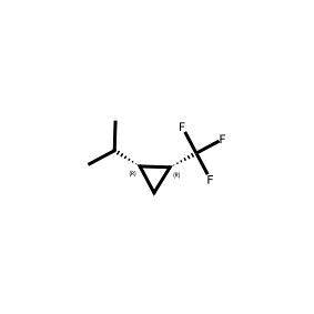 CC(C)[C@H]1C[C@H]1C(F)(F)F